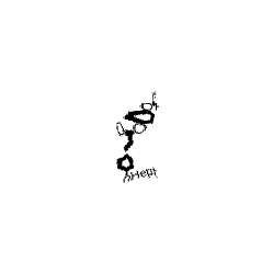 CCCCCCC[C@H]1CC[C@H](CCC(=O)Oc2ccc(OC(F)F)cc2)CC1